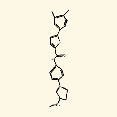 CNC1CCN(c2ccc(NC(=O)c3ccc(-c4ccc(C)c(C)c4)s3)cc2)C1